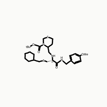 COc1ccc(CNC(=O)[C@H](CSCC2CCCCC2)NCC2CCSCN2C(=O)OC(C)(C)C)cc1